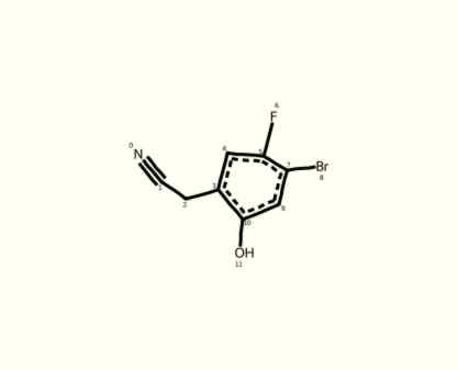 N#CCc1cc(F)c(Br)cc1O